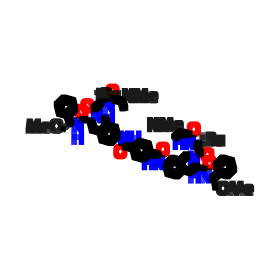 CN[C@@H](C)C(=O)N[C@H](C(=O)N1Cc2cc(NC(=O)c3ccc(C(=O)Nc4ccc5c(c4)CN(C(=O)[C@@H](NC(=O)[C@H](C)NC)C(C)(C)C)[C@H](C(=O)N[C@H](COC)c4ccccc4)C5)cc3)ccc2C[C@H]1C(=O)N[C@H](COC)c1ccccc1)C(C)(C)C